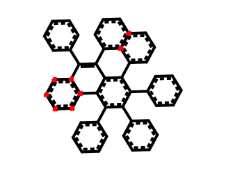 c1ccc(C(=C(c2ccccc2)c2c(-c3ccccc3)c(-c3ccccc3)c(-c3ccccc3)c(-c3ccccc3)c2-c2ccccc2)c2ccccc2)cc1